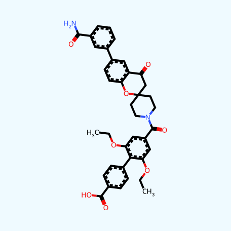 CCOc1cc(C(=O)N2CCC3(CC2)CC(=O)c2cc(-c4cccc(C(N)=O)c4)ccc2O3)cc(OCC)c1-c1ccc(C(=O)O)cc1